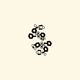 O=C(c1cccc(N(Cc2ccccc2)S(=O)(=O)c2ccc3c(c2)OCO3)c1)N1CCOCC1.O=C(c1cccc(N(Cc2ccccc2)S(=O)(=O)c2cccc3nonc23)c1)N1CCOCC1